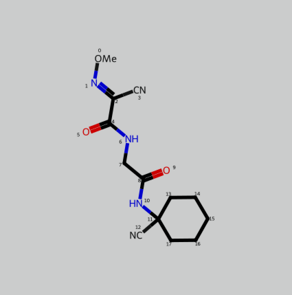 CO/N=C(\C#N)C(=O)NCC(=O)NC1(C#N)CCCCC1